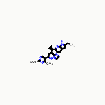 COc1ncc(-c2cc(C3(c4ccc5cc(CC(F)(F)F)[nH]c5n4)CC3)c3nccn3n2)c(OC)n1